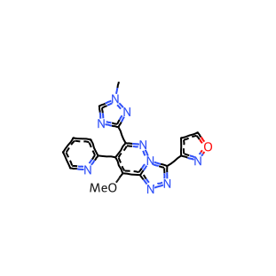 COc1c(-c2ccccn2)c(-c2ncn(C)n2)nn2c(-c3ccon3)nnc12